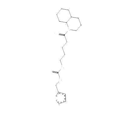 O=C(NCCCCC(=O)N1CCCC2CCCCC21)NCc1ccco1